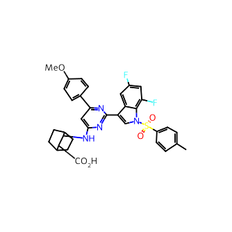 COc1ccc(-c2cc(NC3C4CCC(CC4)C3C(=O)O)nc(-c3cn(S(=O)(=O)c4ccc(C)cc4)c4c(F)cc(F)cc34)n2)cc1